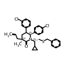 C=CC[C@@]1(C)CC(c2cccc(Cl)c2)[C@@H](c2ccc(Cl)cc2)N([C@H](CSCc2ccccc2)C2CC2)C1=O